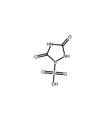 O=c1[nH]c(=O)n(S(=O)(=O)O)[nH]1